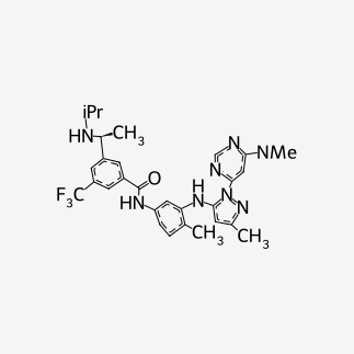 CNc1cc(-n2nc(C)cc2Nc2cc(NC(=O)c3cc([C@H](C)NC(C)C)cc(C(F)(F)F)c3)ccc2C)ncn1